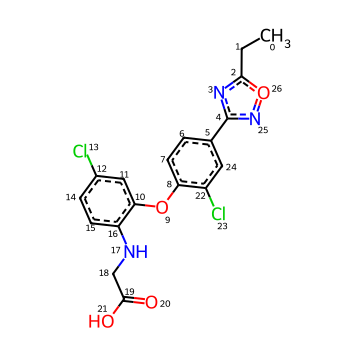 CCc1nc(-c2ccc(Oc3cc(Cl)ccc3NCC(=O)O)c(Cl)c2)no1